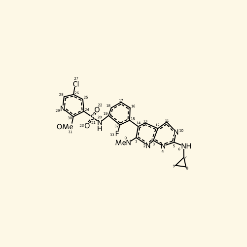 CNc1nc2nc(NC3CC3)ncc2cc1-c1cccc(NS(=O)(=O)c2cc(Cl)cnc2OC)c1F